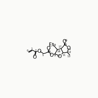 C=CC(=O)OCC(=O)OC1OC2C(C)OC(=O)C2C1CC